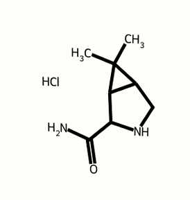 CC1(C)C2CNC(C(N)=O)C21.Cl